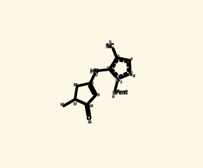 CCCCCn1ncc(C#N)c1NC1=CC(=O)C(C)C1